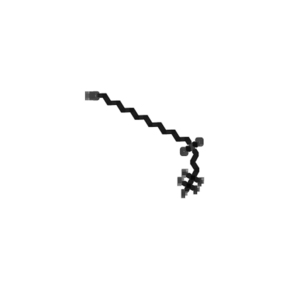 O=S(=O)(CCCCCCCCCCCCCO)CCCC(F)(F)C(F)(F)F